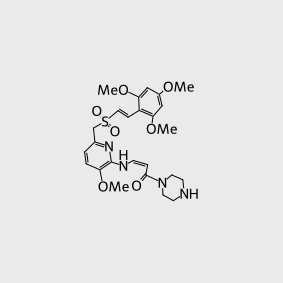 COc1cc(OC)c(/C=C/S(=O)(=O)Cc2ccc(OC)c(N/C=C\C(=O)N3CCNCC3)n2)c(OC)c1